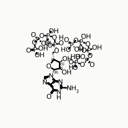 Nc1nc2c(ncn2[C@@H]2O[C@H](COP(=O)(O)OP(=O)(O)OP(=O)(O)OP(=O)(O)O)[C@@H](O)[C@H]2O)c(=O)[nH]1.O=P(O)(O)OP(=O)(O)OP(=O)(O)OP(=O)(O)OP(=O)(O)O